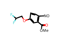 COC(=O)c1cc(OCC(F)F)ccc1N=O